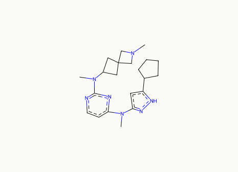 CN1CC2(CC(N(C)c3nccc(N(C)c4cc(C5CCCC5)[nH]n4)n3)C2)C1